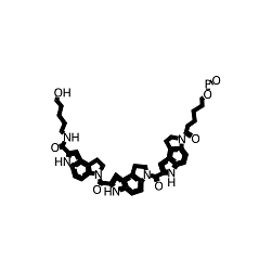 O=POCCCCCC(=O)N1CCc2c1ccc1[nH]c(C(=O)N3CCc4c3ccc3[nH]c(C(=O)N5CCc6c5ccc5[nH]c(C(=O)NCCCCCO)cc65)cc43)cc21